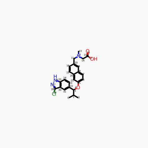 CC(C)C(Oc1ccc2cc(CN(C)CC(=O)O)ccc2c1)c1ccc2[nH]nc(Cl)c2c1